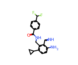 N=Cc1c(N)ccc(C2CC2)c1CNC(=O)c1ccc(C(F)F)cc1